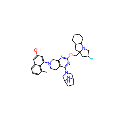 Cc1cccc2cc(O)cc(N3CCc4c(nc(OCC56CC(F)CN5C5CCCCC5C6)nc4N4CC5CCC(C4)N5)C3)c12